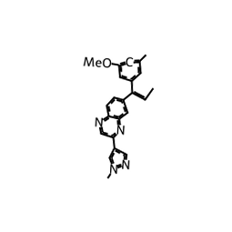 CC=C(c1cc(C)cc(OC)c1)c1ccc2ncc(-c3cnn(C)c3)nc2c1